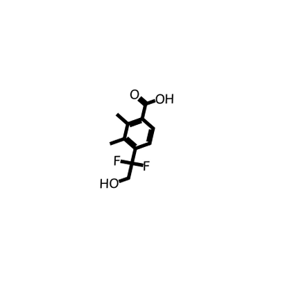 Cc1c(C(=O)O)ccc(C(F)(F)CO)c1C